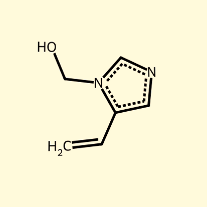 C=Cc1cncn1CO